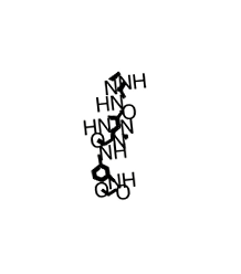 O=C1COc2ccc(CNC(=O)c3ncnc4c(C(=O)NCc5ncc[nH]5)c[nH]c34)cc2N1